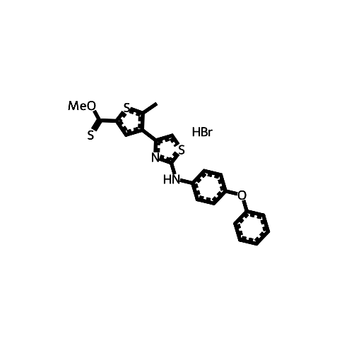 Br.COC(=S)c1cc(-c2csc(Nc3ccc(Oc4ccccc4)cc3)n2)c(C)s1